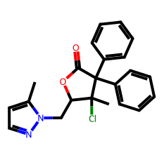 Cc1ccnn1CC1OC(=O)C(c2ccccc2)(c2ccccc2)C1(C)Cl